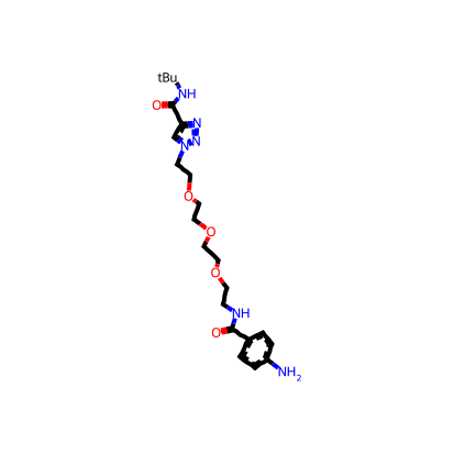 CC(C)(C)NC(=O)c1cn(CCOCCOCCOCCNC(=O)c2ccc(N)cc2)nn1